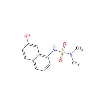 CN(C)S(=O)(=O)Nc1cccc2ccc(O)cc12